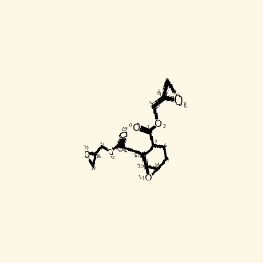 O=C(OCC1CO1)C1CCC2OC2C1C(=O)OCC1CO1